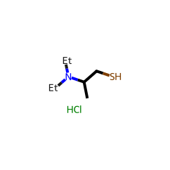 CCN(CC)C(C)CS.Cl